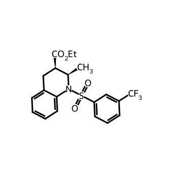 CCOC(=O)[C@@H]1Cc2ccccc2N(S(=O)(=O)c2cccc(C(F)(F)F)c2)[C@@H]1C